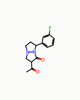 CC(=O)C1CN2CCC(c3cccc(F)c3)N2C1=O